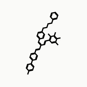 Cc1ccc(-c2ccc(C=CC(C=Cc3cc(C)c(C)c(C)c3C)=Cc3ccc(CCCCc4ccccc4)cc3)cc2)cc1